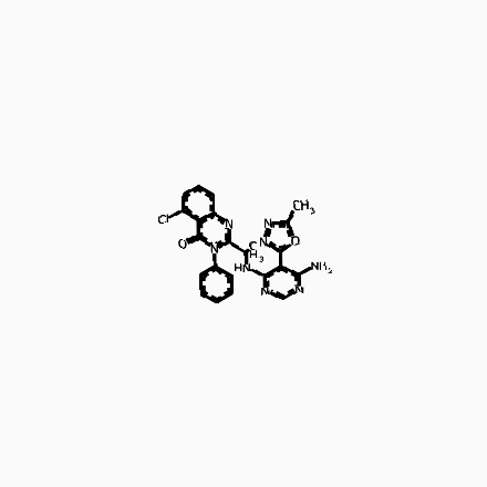 Cc1nnc(-c2c(N)ncnc2NC(C)c2nc3cccc(Cl)c3c(=O)n2-c2ccccc2)o1